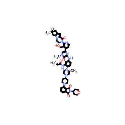 C=CC(=O)Nc1cc(Nc2nc(-c3ccnc(N4CCn5c(cc6c5CC(C)(C)C6)C4=O)c3CO)cn(C)c2=O)ccc1N1CCN(C2CCN(c3cccc4c3C(=O)N(C3CCOCC3)C4=O)CC2)C[C@@H]1C